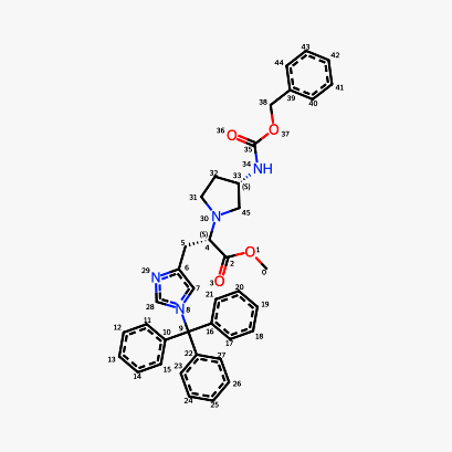 COC(=O)[C@H](Cc1cn(C(c2ccccc2)(c2ccccc2)c2ccccc2)cn1)N1CC[C@H](NC(=O)OCc2ccccc2)C1